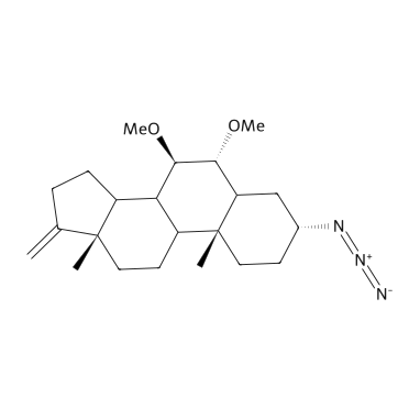 C=C1CCC2C3C(CC[C@]12C)[C@@]1(C)CC[C@@H](N=[N+]=[N-])CC1[C@@H](OC)[C@@H]3OC